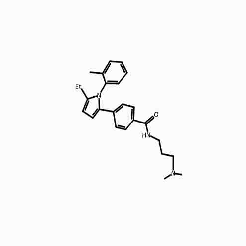 CCc1ccc(-c2ccc(C(=O)NCCCN(C)C)cc2)n1-c1ccccc1C